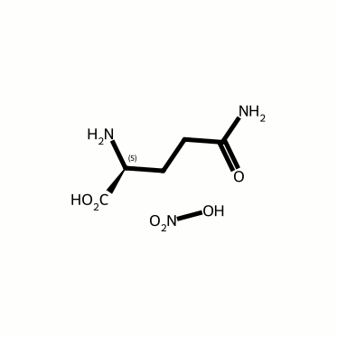 NC(=O)CC[C@H](N)C(=O)O.O=[N+]([O-])O